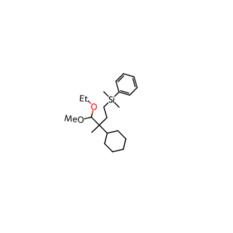 CCOC(OC)C(C)(CC[Si](C)(C)c1ccccc1)C1CCCCC1